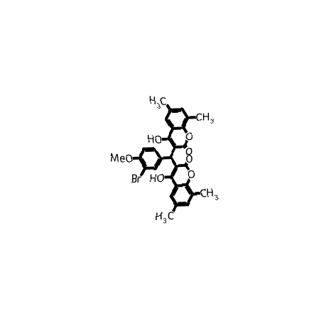 COc1ccc(C(c2c(O)c3cc(C)cc(C)c3oc2=O)c2c(O)c3cc(C)cc(C)c3oc2=O)cc1Br